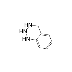 c1ccc2c(c1)CNNN2